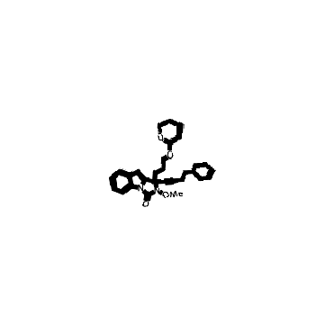 CON1C(=O)n2c(cc3ccccc32)C1(C#CCCc1ccccc1)CCCOC1CCCCO1